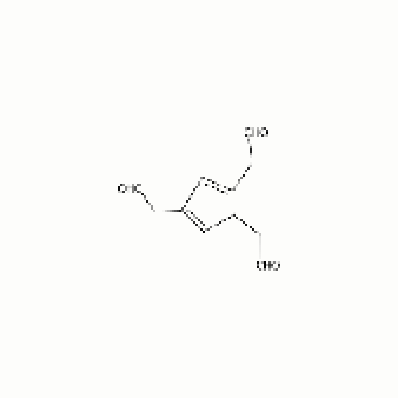 O=CCC1=CC(CC=O)C(CC=O)=C1